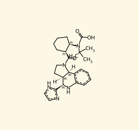 CC(C)(C)N(C(=O)O)[C@@H]1CCCC[C@@H]1C(=O)N1CC[C@@H]2[C@H](c3ncc[nH]3)Nc3ccccc3[C@@H]21